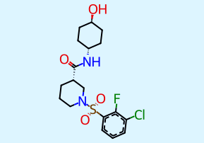 O=C(N[C@H]1CC[C@H](O)CC1)[C@H]1CCCN(S(=O)(=O)c2cccc(Cl)c2F)C1